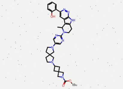 CC1c2c([nH]c3nnc(-c4ccccc4O)cc23)CCN1c1ncc(N2CCC3(CCN(C4CC5(C4)CN(C(=O)OC(C)(C)C)C5)C3)C2)cn1